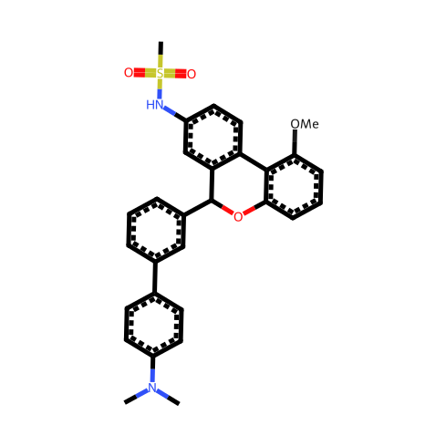 COc1cccc2c1-c1ccc(NS(C)(=O)=O)cc1C(c1cccc(-c3ccc(N(C)C)cc3)c1)O2